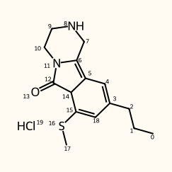 CCCC1=CC2=C3CNCCN3C(=O)C2C(SC)=C1.Cl